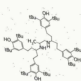 CC(CNC(CCc1cc(C(C)(C)C)c(O)c(C(C)(C)C)c1)CCc1cc(C(C)(C)C)c(O)c(C(C)(C)C)c1)NC(CCc1cc(C(C)(C)C)c(O)c(C(C)(C)C)c1)CCc1cc(C(C)(C)C)c(O)c(C(C)(C)C)c1